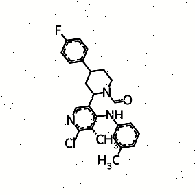 Cc1cccc(Nc2c(C3CC(c4ccc(F)cc4)CCN3C=O)cnc(Cl)c2C)c1